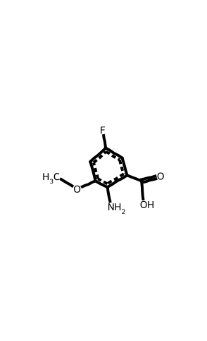 COc1cc(F)cc(C(=O)O)c1N